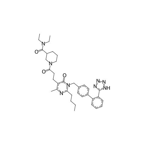 CCCCc1nc(C)c(CCC(=O)N2CCCC(C(=O)N(CC)CC)C2)c(=O)n1Cc1ccc(-c2ccccc2-c2nnn[nH]2)cc1